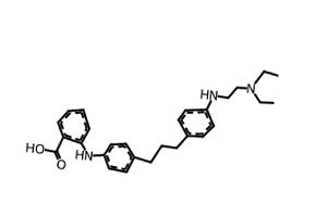 CCN(CC)CCNc1ccc(CCCc2ccc(Nc3ccccc3C(=O)O)cc2)cc1